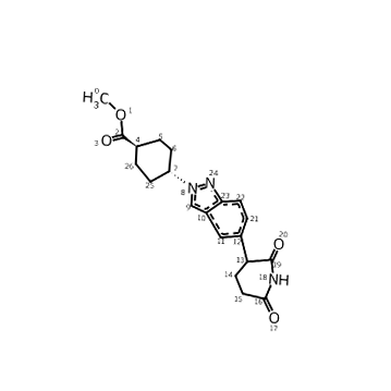 COC(=O)[C@H]1CC[C@H](n2cc3cc(C4CCC(=O)NC4=O)ccc3n2)CC1